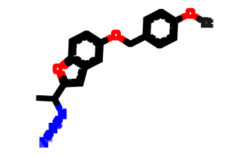 CCOc1ccc(COc2ccc3oc(C(C)N=[N+]=[N-])cc3c2)cc1